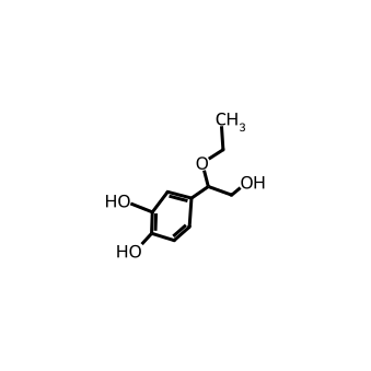 CCOC(CO)c1ccc(O)c(O)c1